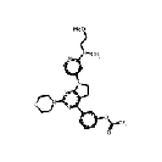 COCCN(C)c1cc(N2CCc3c(-c4cccc(OC(=O)C(F)(F)F)c4)nc(N4CCOCC4)nc32)ccn1